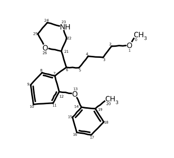 COCCCCC(c1ccccc1Oc1ccccc1C)C1CNCCO1